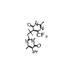 Cc1nc(CC(C)(C)c2c(C(F)(F)F)nc(C)n(C)c2=O)n(C)c(=O)c1C(C)C